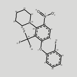 O=[N+]([O-])c1ccc(Oc2ccccc2F)c(C(F)(F)F)c1N1CCCCC1